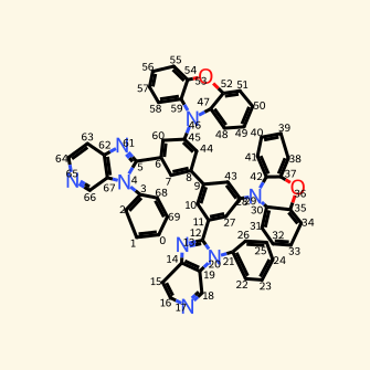 c1ccc(-n2c(-c3cc(-c4cc(-c5nc6ccncc6n5-c5ccccc5)cc(N5c6ccccc6Oc6ccccc65)c4)cc(N4c5ccccc5Oc5ccccc54)c3)nc3ccncc32)cc1